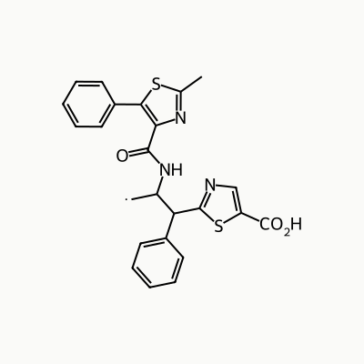 [CH2]C(NC(=O)c1nc(C)sc1-c1ccccc1)C(c1ccccc1)c1ncc(C(=O)O)s1